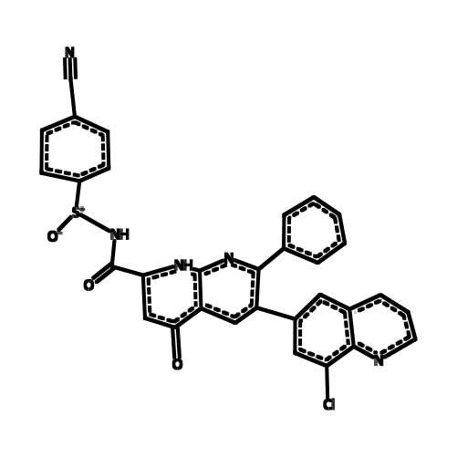 N#Cc1ccc([S+]([O-])NC(=O)c2cc(=O)c3cc(-c4cc(Cl)c5ncccc5c4)c(-c4ccccc4)nc3[nH]2)cc1